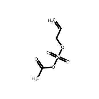 C=CCOS(=O)(=O)OC(C)=O